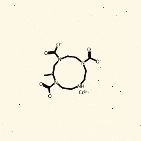 CC1CN(C(=O)[O-])CCN(C(=O)[O-])CCNCCN1C(=O)[O-].[Cr+3]